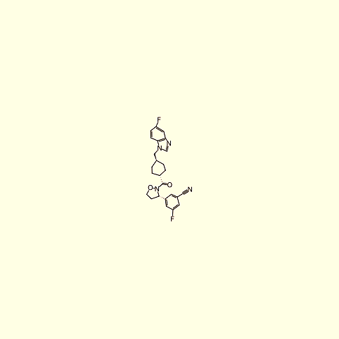 N#Cc1cc(F)cc([C@@H]2CCON2C(=O)[C@H]2CC[C@H](Cn3cnc4cc(F)ccc43)CC2)c1